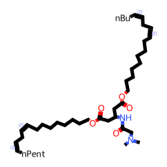 CCCC/C=C\C/C=C\CCCCCCCCOC(=O)CC(CC(=O)OCCCCCCCC/C=C\C/C=C\CCCCC)NC(=O)CN(C)C